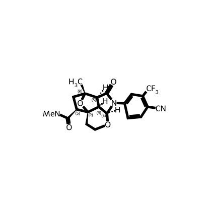 CNC(=O)[C@H]1C[C@@]2(C)O[C@@]13CCO[C@H]1[C@@H]3[C@@H]2C(=O)N1c1ccc(C#N)c(C(F)(F)F)c1